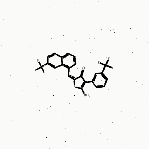 NC1=C(c2cccc(C(F)(F)F)c2)C(=O)/C(=C\c2cccc3ccc(C(F)(F)F)cc23)S1